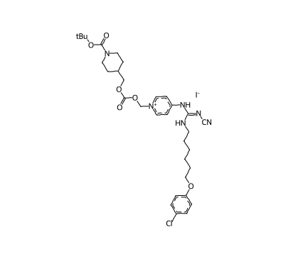 CC(C)(C)OC(=O)N1CCC(COC(=O)OC[n+]2ccc(NC(=NC#N)NCCCCCCOc3ccc(Cl)cc3)cc2)CC1.[I-]